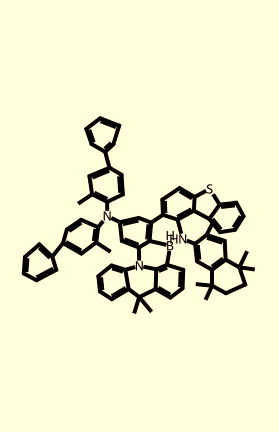 Cc1cc2c(cc1Nc1c(-c3cc(N(c4ccc(-c5ccccc5)cc4C)c4ccc(-c5ccccc5)cc4C)cc4c3Bc3cccc5c3N4c3ccccc3C5(C)C)ccc3sc4ccccc4c13)C(C)(C)CCC2(C)C